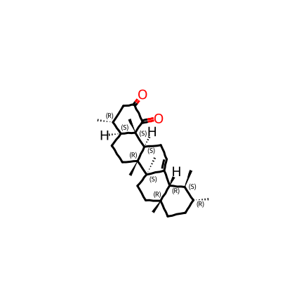 C[C@H]1[C@H](C)CC[C@]2(C)CC[C@]3(C)C(=CC[C@@H]4[C@@]5(C)C(=O)C(=O)C[C@@H](C)[C@@H]5CC[C@]43C)[C@H]12